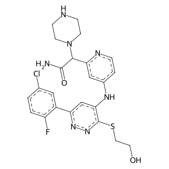 NC(=O)C(c1cc(Nc2cc(-c3cc(Cl)ccc3F)nnc2SCCO)ccn1)N1CCNCC1